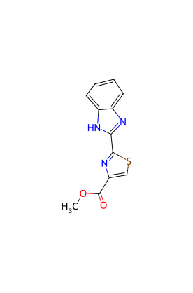 COC(=O)c1csc(-c2nc3ccccc3[nH]2)n1